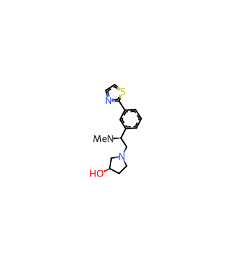 CN[C@H](CN1CC[C@@H](O)C1)c1cccc(-c2nccs2)c1